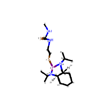 CNC(=S)NCCSP1N(C(C)C)[C@@H]2CCCC[C@H]2N1C(C)C